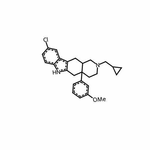 COc1cccc(C23CCN(CC4CC4)CC2Cc2c([nH]c4ccc(Cl)cc24)C3)c1